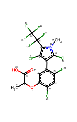 CC(Oc1cc(-c2c(Cl)c(C(F)(F)C(F)(F)F)n(C)c2Cl)c(F)cc1Cl)C(=O)O